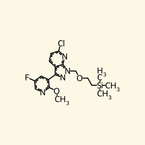 COc1ncc(F)cc1-c1nn(COCC[Si](C)(C)C)c2nc(Cl)ccc12